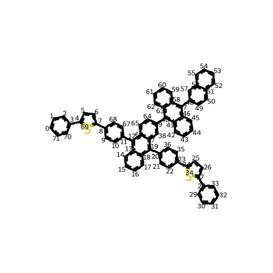 c1ccc(-c2ccc(-c3ccc(-c4c5ccccc5c(-c5ccc(-c6ccc(-c7ccccc7)s6)cc5)c5cc(-c6c7ccccc7c(-c7ccc8ccccc8c7)c7ccccc67)ccc45)cc3)s2)cc1